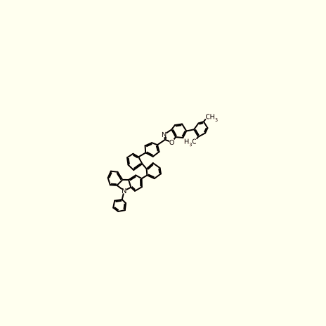 Cc1ccc(C)c(-c2ccc3nc(-c4ccc(-c5ccccc5-c5ccccc5-c5ccc6c(c5)c5ccccc5n6-c5ccccc5)cc4)oc3c2)c1